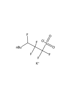 CCCCC(F)C(F)(F)C(F)(F)S(=O)(=O)[O-].[K+]